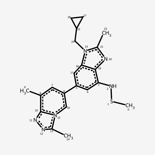 CSNc1cc(-c2cc(C)c3nnc(C)n3c2)cc2c1nc(C)n2CC1CC1